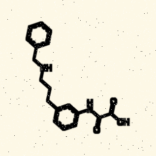 O=C(O)C(=O)Nc1cccc(CCCNCc2ccccc2)c1